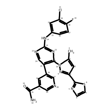 Cc1cc(-c2nccs2)nn1-c1nc(Nc2ccc(F)c(Cl)c2)ncc1-c1cncc(C(N)=O)c1